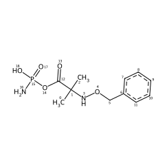 CC(C)(NOCc1ccccc1)C(=O)OP(N)(=O)O